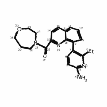 CCc1nc(N)ccc1-c1cccc2ccc(C(=O)N3CCCOCC3)nc12